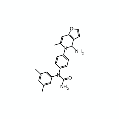 CC1=Cc2occc2C(N)N1c1ccc(N(C(N)=O)c2cc(C)cc(C)c2)cc1